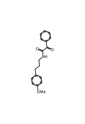 COc1ccc(CCCNC(=O)C(=O)c2ccccc2)cc1